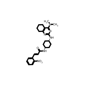 CN(C)c1nc(N[C@H]2CC[C@@H](NC(=O)C=Cc3ccccc3[N+](=O)[O-])CC2)nc2c1CCCC2